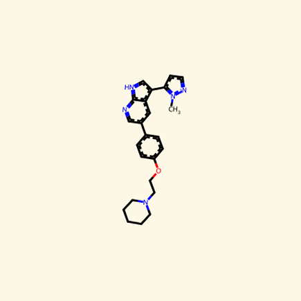 Cn1nccc1-c1c[nH]c2ncc(-c3ccc(OCCN4CCCCC4)cc3)cc12